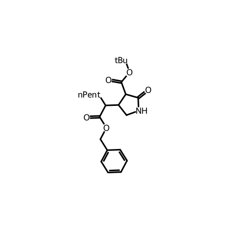 CCCCCC(C(=O)OCc1ccccc1)C1CNC(=O)C1C(=O)OC(C)(C)C